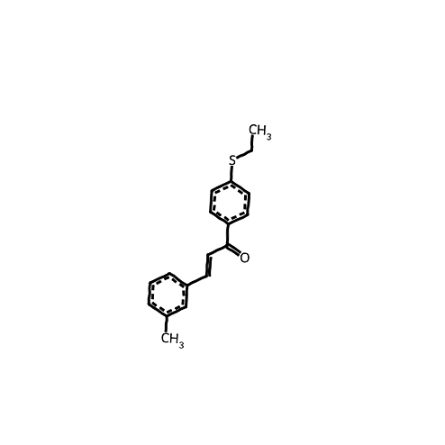 CCSc1ccc(C(=O)C=Cc2cccc(C)c2)cc1